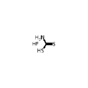 F.NC(=S)S